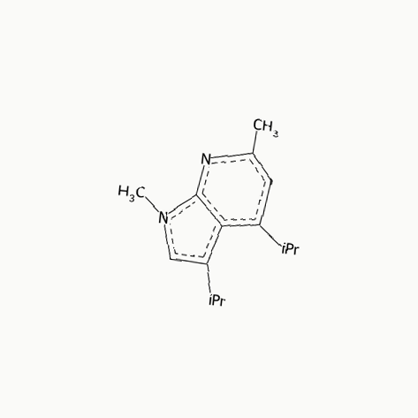 Cc1cc(C(C)C)c2c(C(C)C)cn(C)c2n1